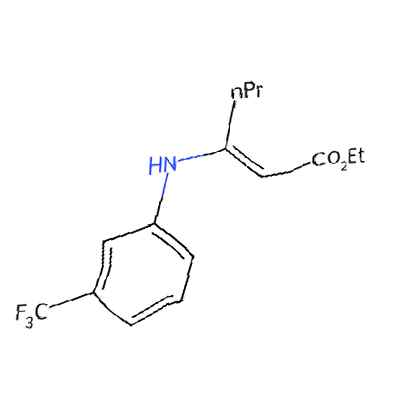 CCCC(=CC(=O)OCC)Nc1cccc(C(F)(F)F)c1